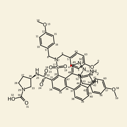 COc1ccc(CN(Cc2ccc(OC)cc2)S(=O)(=O)c2c(S(=O)(=O)N[C@@H]3CCN(C(=O)O)C3)ccc(-c3cccc4[nH]c(N)nc34)c2-c2nnnn2Cc2ccc(OC)cc2)cc1